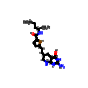 CCOC(=O)CC[C@H](NC(=O)c1ccc(CCC2CNc3nc(N)[nH]c(=O)c3C2)s1)C(=O)OCC